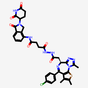 Cc1sc2c(c1C)C(c1ccc(Cl)cc1)=N[C@@H](CC(=O)NNC(=O)CCC(=O)Nc1cccc3c1CN(C1CCC(=O)NC1=O)C3=O)c1nnc(C)n1-2